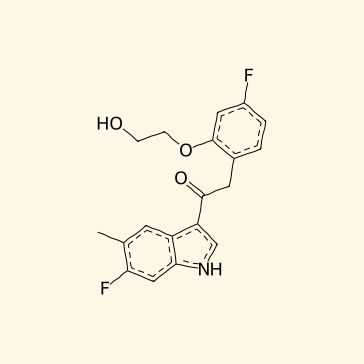 Cc1cc2c(C(=O)Cc3ccc(F)cc3OCCO)c[nH]c2cc1F